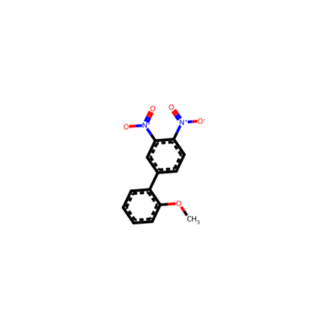 COc1ccccc1-c1ccc([N+](=O)[O-])c([N+](=O)[O-])c1